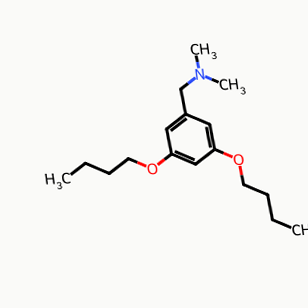 CCCCOc1cc(CN(C)C)cc(OCCCC)c1